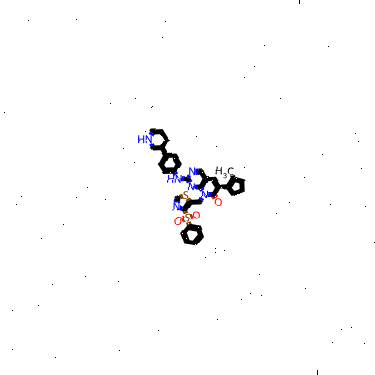 CC1=C(c2cc3cnc(Nc4ccc(C5CCCNC5)cc4)nc3n(Cc3scnc3S(=O)(=O)c3ccccc3)c2=O)CCC1